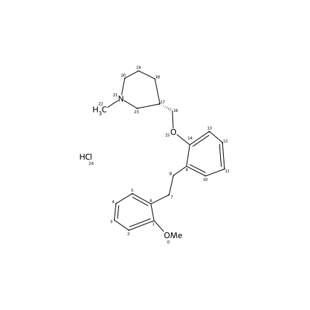 COc1ccccc1CCc1ccccc1OC[C@H]1CCCN(C)C1.Cl